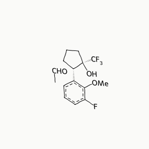 CC=O.COc1c(F)cccc1[C@@H]1CCC[C@]1(O)C(F)(F)F